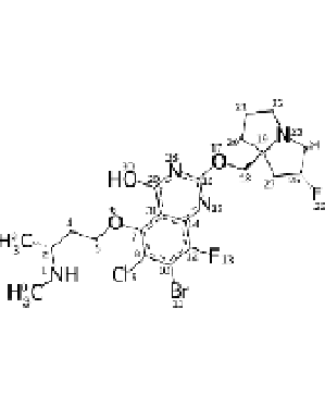 CN[C@H](C)CCOc1c(Cl)c(Br)c(F)c2nc(OC[C@@]34CCCN3C[C@H](F)C4)nc(O)c12